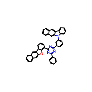 c1ccc(-c2nc(-c3cccc(-n4c5ccccc5c5cc6ccccc6cc54)c3)nc(-c3cccc4c3oc3cc5ccccc5cc34)n2)cc1